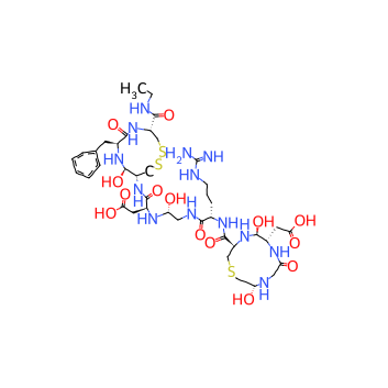 CCNC(=O)[C@@H]1CSSC[C@H](NC(=O)[C@H](CC(=O)O)N[C@H](O)CNC(=O)[C@H](CCCNC(=N)N)NC(=O)[C@@H]2CSC[C@@H](O)NCC(=O)N[C@@H](CC(=O)O)[C@H](O)N2)[C@@H](O)N[C@@H](Cc2ccccc2)C(=O)N1